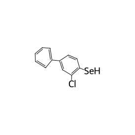 Clc1cc(-c2ccccc2)ccc1[SeH]